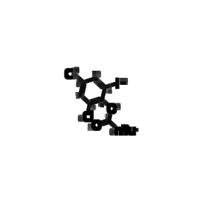 CCC[CH]C(=O)Oc1c(Cl)cc(Cl)cc1I